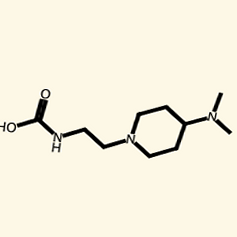 CN(C)C1CCN(CCNC(=O)O)CC1